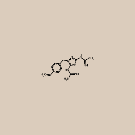 C=Cc1ccc(Cn2nc(NC(=N)N)nc2NC(=N)N)cc1